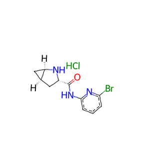 Cl.O=C(Nc1cccc(Br)n1)[C@@H]1C[C@H]2C[C@H]2N1